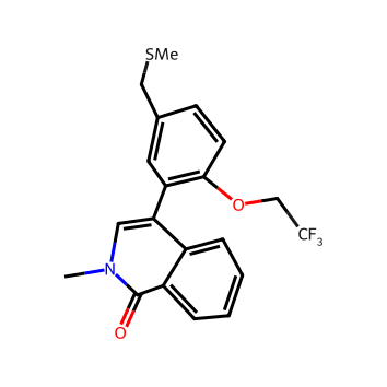 CSCc1ccc(OCC(F)(F)F)c(-c2cn(C)c(=O)c3ccccc23)c1